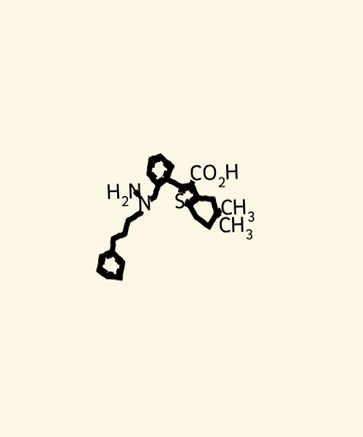 CC1(C)CCc2sc(-c3ccccc3CN(N)CCCCc3ccccc3)c(C(=O)O)c2C1